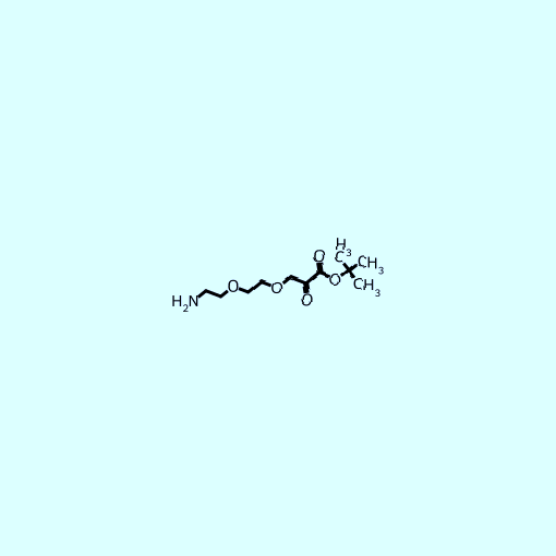 CC(C)(C)OC(=O)C(=O)COCCOCCN